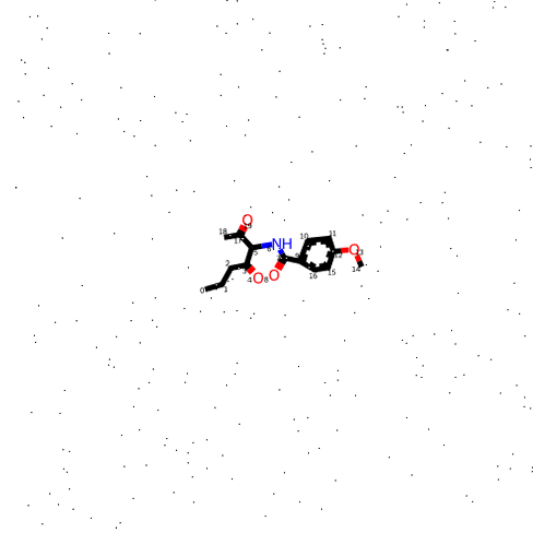 CCCC(=O)C(NC(=O)c1ccc(OC)cc1)C(C)=O